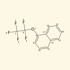 FC(F)(F)C(F)(F)Oc1cccc2ccccc12